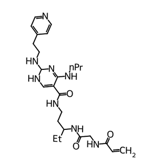 C=CC(=O)NCC(=O)NC(CC)CCNC(=O)C1=CNC(NCCc2ccncc2)N=C1NCCC